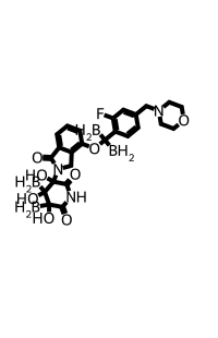 BC(B)(Oc1cccc2c1CN(C1(O)C(=O)NC(=O)C(B)(O)C1(B)O)C2=O)c1ccc(CN2CCOCC2)cc1F